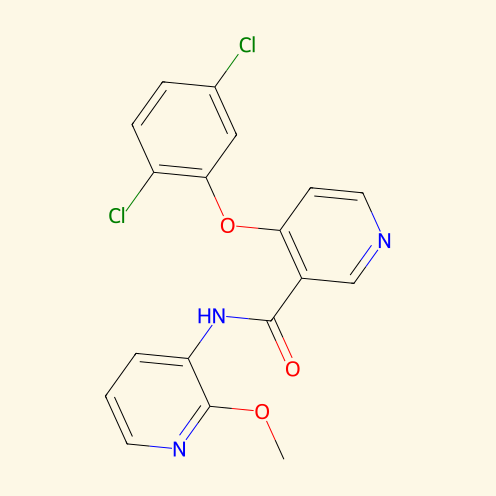 COc1ncccc1NC(=O)c1cnccc1Oc1cc(Cl)ccc1Cl